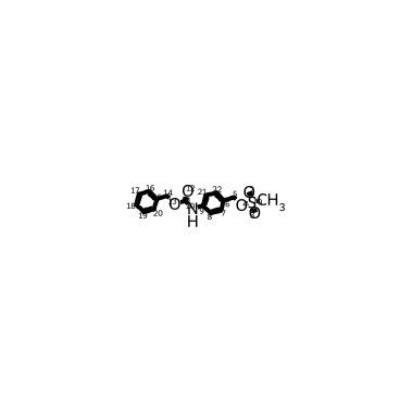 CS(=O)(=O)OCc1ccc(NC(=O)OCc2ccccc2)cc1